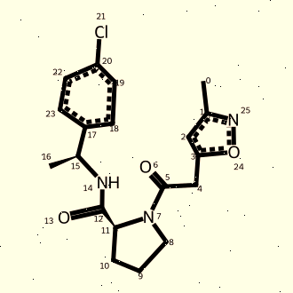 Cc1cc(CC(=O)N2CCC[C@H]2C(=O)N[C@@H](C)c2ccc(Cl)cc2)on1